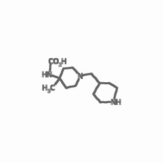 CC1(NC(=O)O)CCN(CC2CCNCC2)CC1